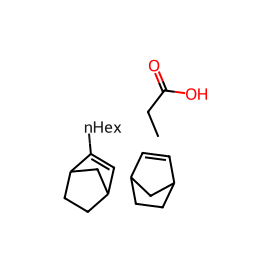 C1=CC2CCC1C2.CCC(=O)O.CCCCCCC1=CC2CCC1C2